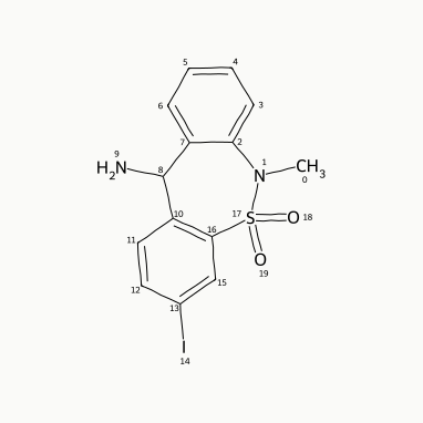 CN1c2ccccc2C(N)c2ccc(I)cc2S1(=O)=O